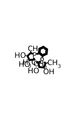 CC1[C@@H](O)[C@H](O)[C@H](C)P1c1ccccc1P1[C@@H](C)C(O)[C@H](O)[C@@H]1C